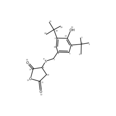 CC(C)(C)c1cc(CSC2CC(=O)OC2=O)cc(C(C)(C)C)c1O